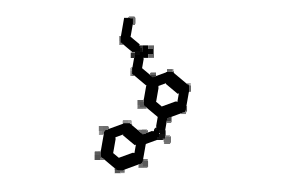 CCNCc1cccc(Oc2ccccc2)c1